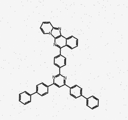 c1ccc(-c2ccc(-c3cc(-c4ccc(-c5ccccc5)cc4)nc(-c4ccc(-c5nc6c(nc7ccccn76)c6ccccc56)cc4)n3)cc2)cc1